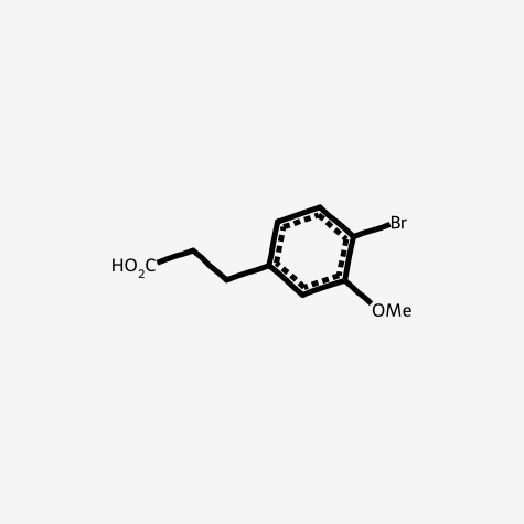 COc1cc(CCC(=O)O)ccc1Br